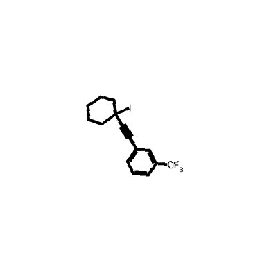 FC(F)(F)c1cccc(C#CC2(I)CCCCC2)c1